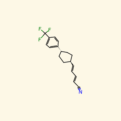 N#C/C=C/C=C/[C@H]1CC[C@H](c2ccc(C(F)(F)F)cc2)CC1